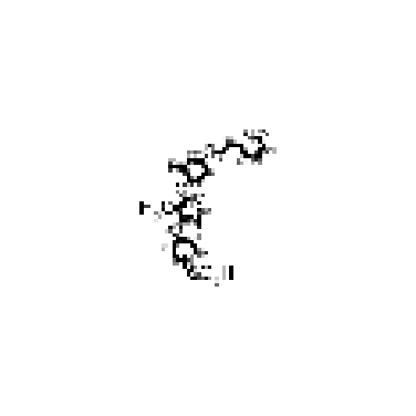 Cc1c(Oc2ccc(OCCc3ccccn3)cc2F)ncnc1OC1CCN(C(=O)O)CC1